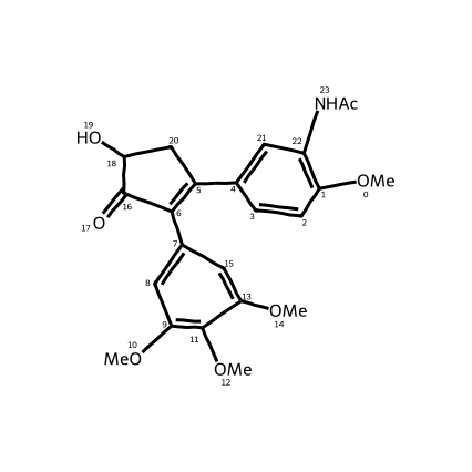 COc1ccc(C2=C(c3cc(OC)c(OC)c(OC)c3)C(=O)C(O)C2)cc1NC(C)=O